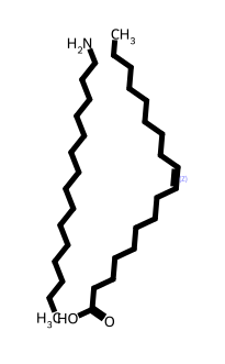 CCCCCCCC/C=C\CCCCCCCC(=O)O.CCCCCCCCCCCCCCCN